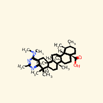 Cc1nc(N(C)C)c2c(n1)C(C)(C)[C@@H]1CC[C@]3(C)[C@H](CC=C4[C@@H]5[C@@H](C)[C@H](C)CC[C@]5(C(=O)O)CC[C@]43C)[C@@]1(C)C2